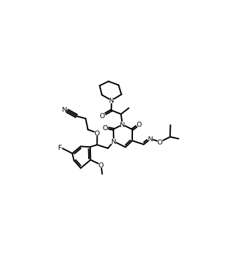 COc1ccc(F)cc1C(Cn1cc(/C=N/OC(C)C)c(=O)n(C(C)C(=O)N2CCCCC2)c1=O)OCCC#N